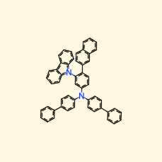 c1ccc(-c2ccc(N(c3ccc(-c4ccccc4)cc3)c3ccc(-c4ccc5ccccc5c4)c(-n4c5ccccc5c5ccccc54)c3)cc2)cc1